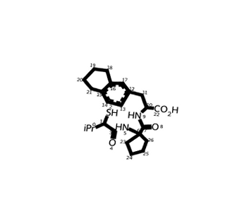 CC(C)C(S)C(=O)NC1(C(=O)NC(Cc2ccc3c(c2)CCCC3)C(=O)O)CCCC1